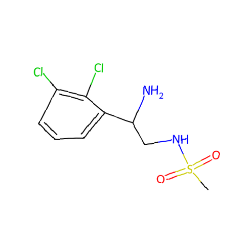 CS(=O)(=O)NCC(N)c1cccc(Cl)c1Cl